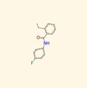 CCc1ccccc1C(=O)Nc1ccc(F)cc1